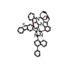 C1#CCC(n2c3ccccc3c3cccc(-n4c5c(c6cccc(-c7nc(-c8ccc9sc%10ccccc%10c9c8)nc(-c8ccc(-c9ccccc9)c9ccccc89)n7)c64)C=CCC5)c32)=CC=C1